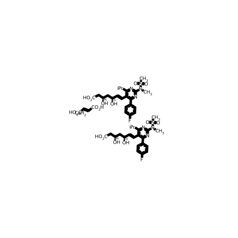 CC(C)c1nc(N(C)S(C)(=O)=O)nc(-c2ccc(F)cc2)c1C=C[C@@H](O)C[C@@H](O)CC(=O)O.CC(C)c1nc(N(C)S(C)(=O)=O)nc(-c2ccc(F)cc2)c1C=C[C@@H](O)C[C@@H](O)CC(=O)O.O=C(O)C=CC(=O)O.[CaH2]